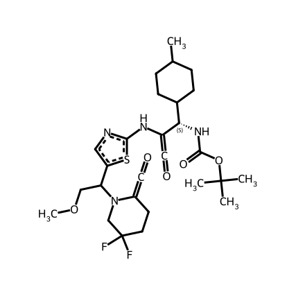 COCC(c1cnc(NC(=C=O)[C@@H](NC(=O)OC(C)(C)C)C2CCC(C)CC2)s1)N1CC(F)(F)CCC1=C=O